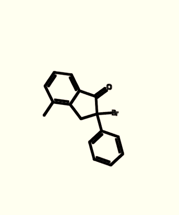 Cc1cccc2c1CC(Br)(c1ccccc1)C2=O